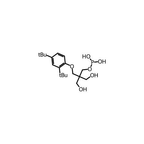 CC(C)(C)c1ccc(OCC(CO)(CO)COP(O)O)c(C(C)(C)C)c1